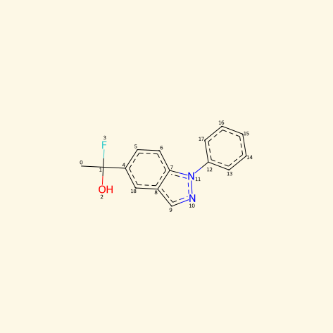 CC(O)(F)c1ccc2c(cnn2-c2ccccc2)c1